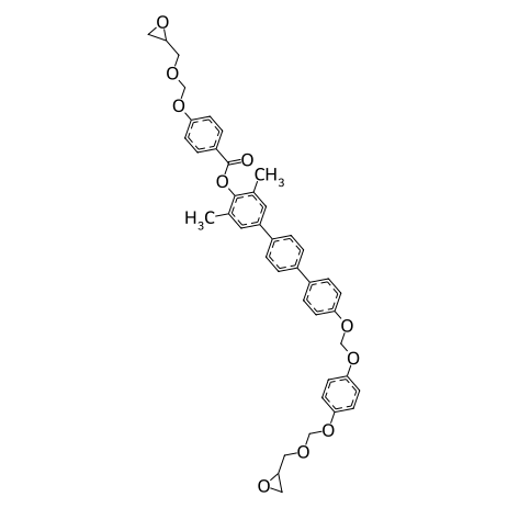 Cc1cc(-c2ccc(-c3ccc(OCOc4ccc(OCOCC5CO5)cc4)cc3)cc2)cc(C)c1OC(=O)c1ccc(OCOCC2CO2)cc1